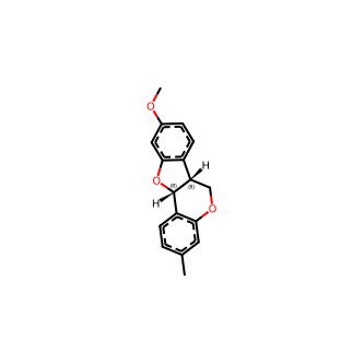 COc1ccc2c(c1)O[C@H]1c3ccc(C)cc3OC[C@@H]21